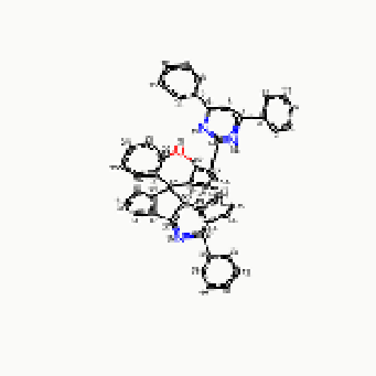 c1ccc(-c2cc(-c3ccccc3)nc(-c3cccc4c3Oc3ccccc3C43c4ccccc4-c4nc(-c5ccccc5)c5ccccc5c43)n2)cc1